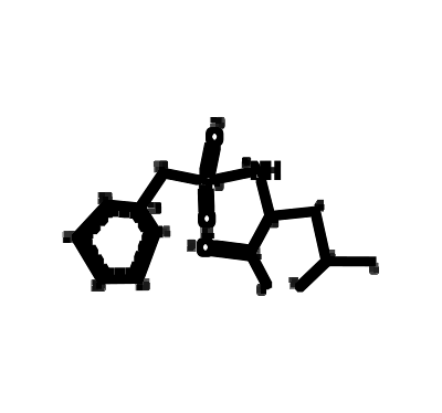 CC(=O)C(CC(C)C)NS(=O)(=O)Cc1ccccc1